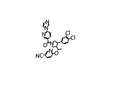 CC(Oc1ccc(C#N)cn1)C1CN(C(=O)c2ccc(-n3ccnc3)nc2)CC1c1ccc(Cl)c(Cl)c1